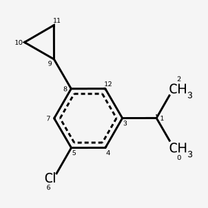 C[C](C)c1cc(Cl)cc(C2CC2)c1